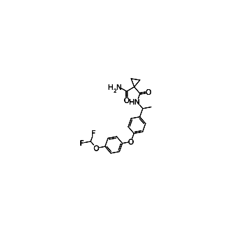 CC(NC(=O)C1(C(N)=O)CC1)c1ccc(Oc2ccc(OC(F)F)cc2)cc1